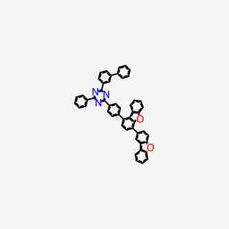 c1ccc(-c2cccc(-c3nc(-c4ccccc4)nc(-c4ccc(-c5ccc(-c6ccc7oc8ccccc8c7c6)c6oc7ccccc7c56)cc4)n3)c2)cc1